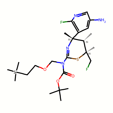 C[C@@H]1[C@@](C)(CF)SC(N(COCC[Si](C)(C)C)C(=O)OC(C)(C)C)=N[C@]1(C)c1cc(N)cnc1F